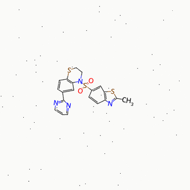 Cc1nc2ccc(S(=O)(=O)N3CCSc4ccc(-c5ncccn5)cc43)cc2s1